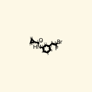 O=C(Nc1cccc(/C=C(\F)Br)c1)C1CC1